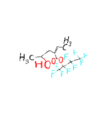 CC=C(CC(C)O)C(=O)OC(F)(C(F)(F)F)C(F)(F)C(F)(F)F